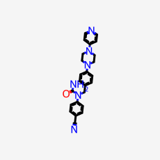 N#Cc1ccc(N(Cc2ccc(N3CCN(c4ccncc4)CC3)cc2)C(N)=O)cc1